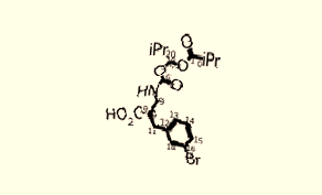 CC(C)C(=O)O[C@H](OC(=O)NC[C@H](Cc1cccc(Br)c1)C(=O)O)C(C)C